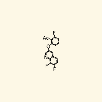 CC(=O)c1c(F)cccc1Oc1cnc2c(F)c(F)ccc2c1